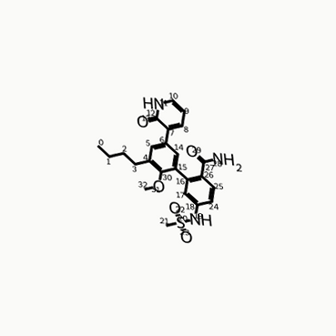 CCCCc1cc(-c2ccc[nH]c2=O)cc(-c2cc(NS(C)(=O)=O)ccc2C(N)=O)c1OC